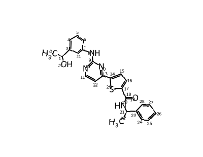 CC(O)c1cccc(Nc2nccc(-c3ccc(C(=O)N[C@H](C)c4ccccc4)s3)n2)c1